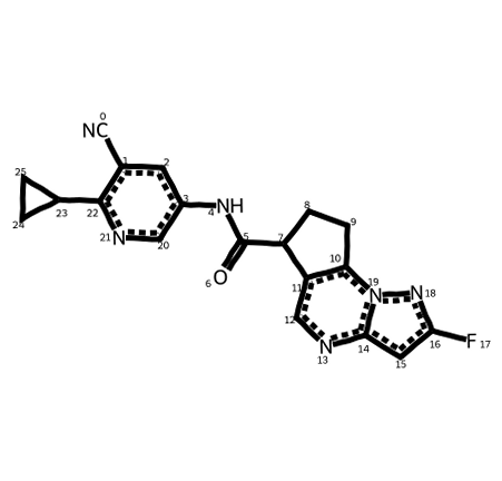 N#Cc1cc(NC(=O)C2CCc3c2cnc2cc(F)nn32)cnc1C1CC1